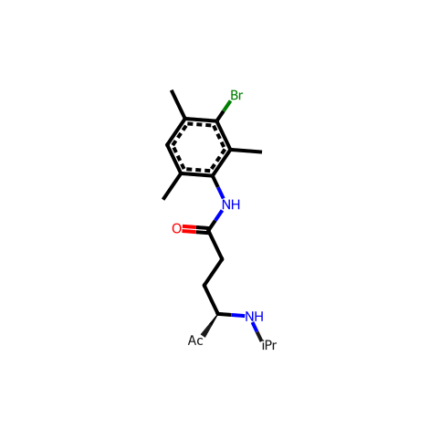 CC(=O)[C@@H](CCC(=O)Nc1c(C)cc(C)c(Br)c1C)NC(C)C